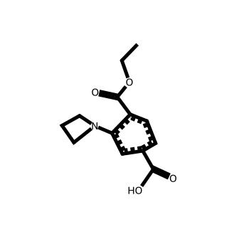 CCOC(=O)c1ccc(C(=O)O)cc1N1CCC1